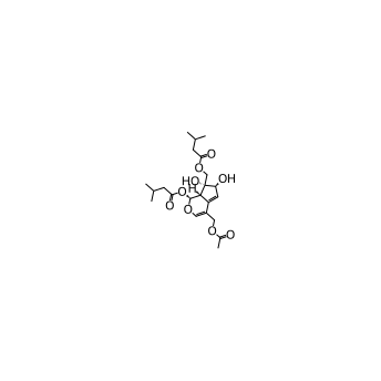 CC(=O)OCC1=CO[C@@H](OC(=O)CC(C)C)[C@H]2C1=C[C@H](O)[C@]2(O)COC(=O)CC(C)C